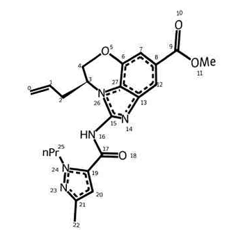 C=CC[C@H]1COc2cc(C(=O)OC)cc3nc(NC(=O)c4cc(C)nn4CCC)n1c23